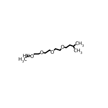 CNOCCOCCOCCOCCC(C)C